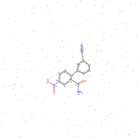 N#Cc1cccc(-c2ccc([N+](=O)[O-])cc2C(N)=O)c1